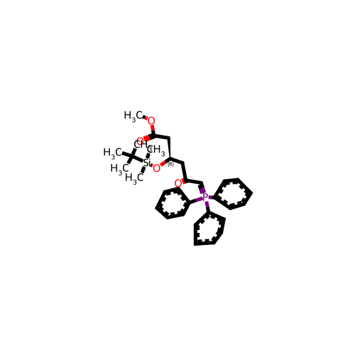 COC(=O)C[C@@H](CC(=O)C=P(c1ccccc1)(c1ccccc1)c1ccccc1)O[Si](C)(C)C(C)(C)C